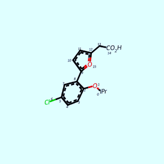 CC(C)Oc1ccc(Cl)cc1-c1ccc(CC(=O)O)o1